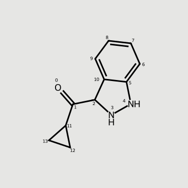 O=C([C]1NNc2ccccc21)C1CC1